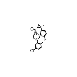 Cc1ccc(Cl)cc1N1CCN(C(=O)[C@@H]2C[C@@]2(C)c2ccc(F)cc2)CC1